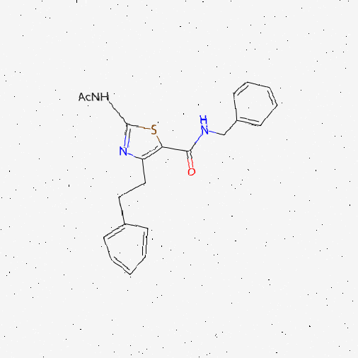 CC(=O)Nc1nc(CCc2cc[c]cc2)c(C(=O)NCc2ccccc2)s1